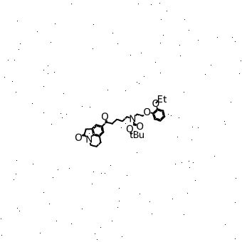 CCOc1ccccc1OCCN(CCCCC(=O)c1cc2c3c(c1)CC(=O)N3CCC2)C(=O)OC(C)(C)C